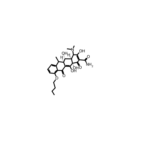 CCCCOc1cccc2c1C(=O)C1=C(O)[C@]3(O)C(=O)C(C(N)=O)=C(O)C(N(C)C)[C@@H]3[C@@H](O)[C@@H]1C2C